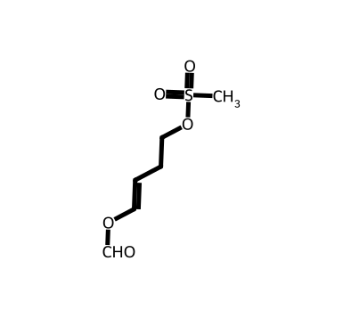 CS(=O)(=O)OCCC=COC=O